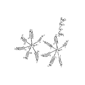 N#[C][Fe-3]([C]#N)([C]#N)([C]#N)([C]#N)[C]#N.N#[C][Fe-3]([C]#N)([C]#N)([C]#N)([C]#N)[C]#N.[Fe+2].[Fe+2].[Fe+2].[NaH]